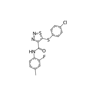 Cc1ccc(NC(=O)c2nnsc2Sc2ccc(Cl)cc2)c(F)c1